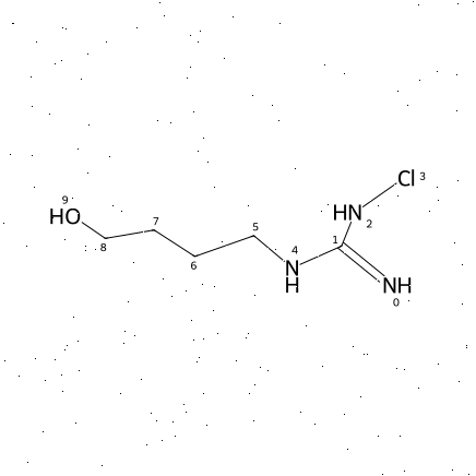 N=C(NCl)NCCCCO